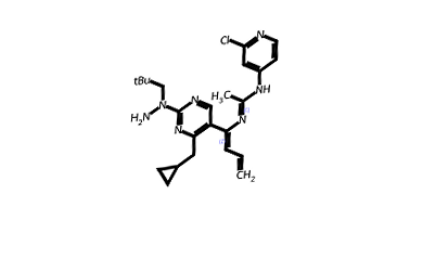 C=C/C=C(\N=C(/C)Nc1ccnc(Cl)c1)c1cnc(N(N)CC(C)(C)C)nc1CC1CC1